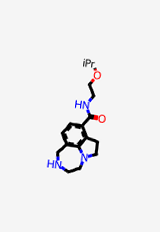 CC(C)OCCNC(=O)c1ccc2c3c1CCN3CCNC2